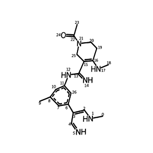 CN/C=C(\C=N)c1cc(C)cc(NC(=N)C2=C(NC)CCN(C(C)=O)C2)c1